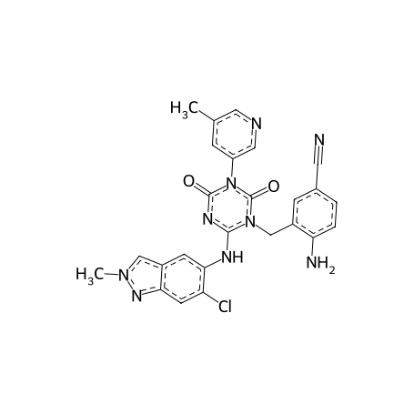 Cc1cncc(-n2c(=O)nc(Nc3cc4cn(C)nc4cc3Cl)n(Cc3cc(C#N)ccc3N)c2=O)c1